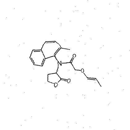 CC=COCC(=O)N(c1c(C)ccc2ccccc12)C1CCOC1=O